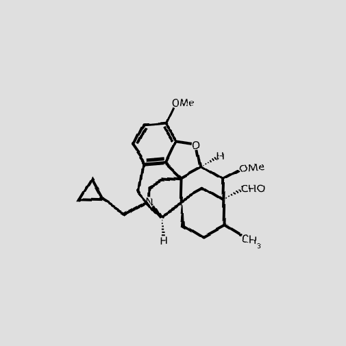 COc1ccc2c3c1O[C@H]1C(OC)[C@]4(C=O)C[C@]5(CCC4C)[C@@H](C2)N(CC2CC2)CCC315